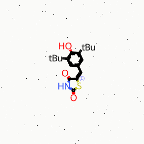 CC(C)(C)c1cc(/C=C2/SC(=O)NC2=O)cc(C(C)(C)C)c1O